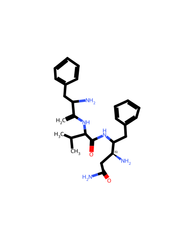 C=C(NC(C(=O)NC(Cc1ccccc1)[C@@H](N)CC(N)=O)C(C)C)C(N)Cc1ccccc1